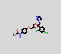 CCC(=O)Nc1ccc(OCC2COC(Cn3ccnc3)(c3ccc(Cl)cc3Cl)O2)cc1